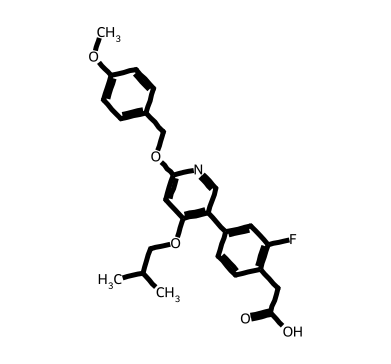 COc1ccc(COc2cc(OCC(C)C)c(-c3ccc(CC(=O)O)c(F)c3)cn2)cc1